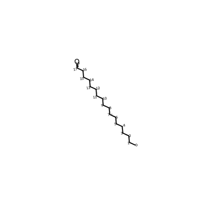 CCCCCCC[CH]CCCCCCCCCC=O